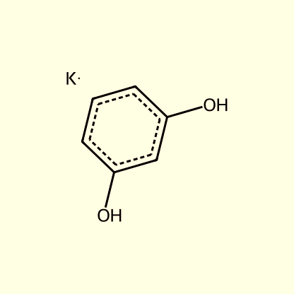 Oc1cccc(O)c1.[K]